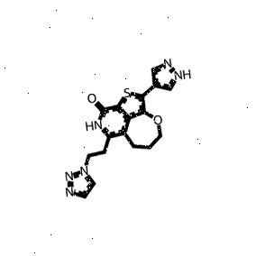 O=c1[nH]c(CCn2ccnn2)c2c3c(c(-c4cn[nH]c4)sc13)OCCC2